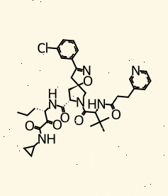 CCC[C@H](NC(=O)[C@@H]1C[C@]2(CC(c3cccc(Cl)c3)=NO2)CN1C(=O)[C@@H](NC(=O)CCc1cccnc1)C(C)(C)C)C(=O)C(=O)NC1CC1